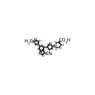 Cn1cc(-c2cc(-c3ccc(N4CCC[C@H](C(=O)O)C4)nc3)c3c(C#N)cnn3c2)cn1